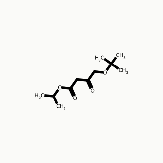 CC(C)OC(=O)CC(=O)COC(C)(C)C